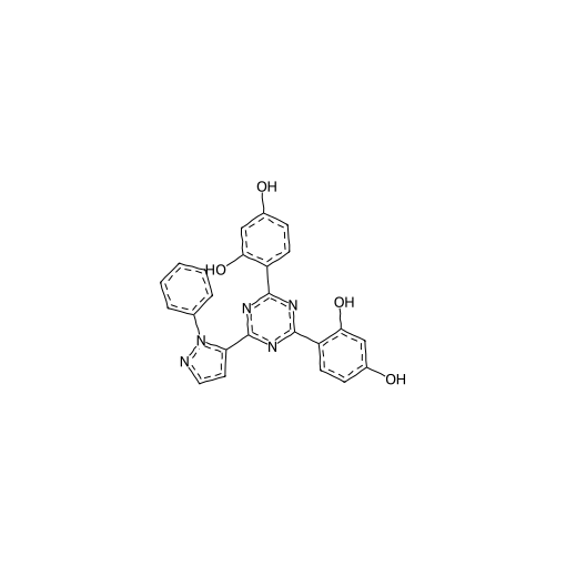 Oc1ccc(-c2nc(-c3ccc(O)cc3O)nc(-c3ccnn3-c3ccccc3)n2)c(O)c1